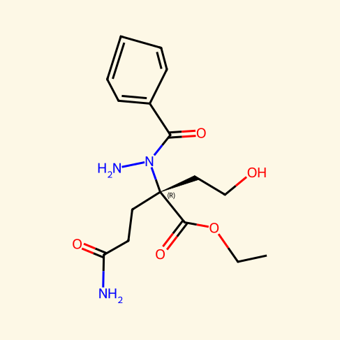 CCOC(=O)[C@](CCO)(CCC(N)=O)N(N)C(=O)c1ccccc1